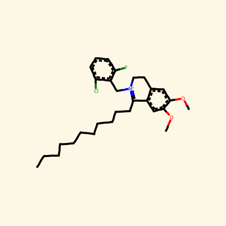 CCCCCCCCCCCC1=[N+](Cc2c(F)cccc2Cl)CCc2cc(OC)c(OC)cc21